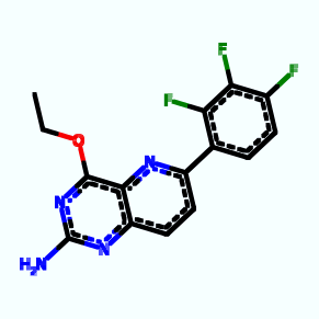 CCOc1nc(N)nc2ccc(-c3ccc(F)c(F)c3F)nc12